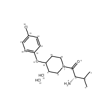 CC(C)[C@H](N)C(=O)N1CCC(Oc2ccc(Cl)cn2)CC1.Cl.Cl